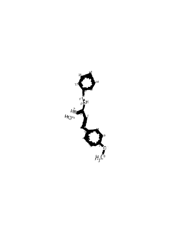 COc1ccc(/C=C/C(=N)NCc2ccccc2)cc1.Cl